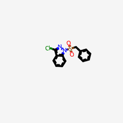 O=S(=O)(Cc1ccccc1)n1nc(Cl)c2ccccc21